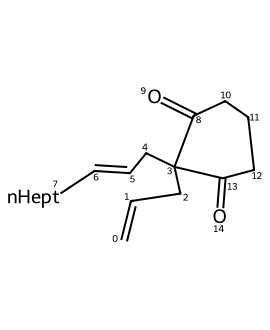 C=CCC1(CC=CCCCCCCC)C(=O)CCCC1=O